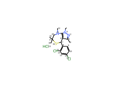 Cc1nn(C)c2c1C(c1ccc(Cl)cc1Cl)SC(C)(C)CN2C.Cl